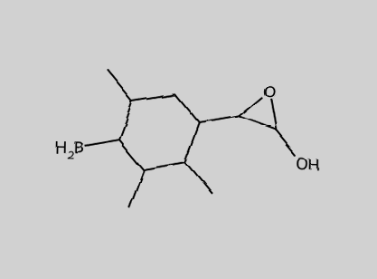 BC1C(C)CC(C2OC2O)C(C)C1C